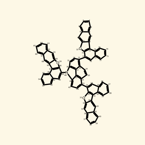 c1ccc2cc3c(cc2c1)oc1c(-c2ccc4c5c2ccc2c(-c6cc7ccccc7c7c6oc6cc8ccccc8cc67)ccc(c25)n4-c2cc4ccccc4c4c2oc2cc5ccccc5cc24)cc2ccccc2c13